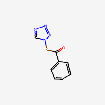 O=C(Sn1cnnn1)c1ccccc1